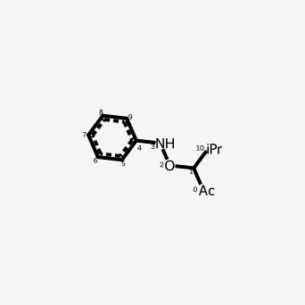 CC(=O)C(ONc1ccccc1)C(C)C